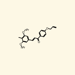 C=CCOc1ccc(C(=O)C=Cc2cc(OCCC)c(C)c(OCCC)c2)cc1